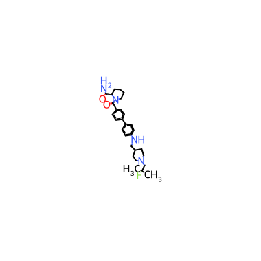 CC(C)(F)CN1CCC(CNc2ccc(-c3ccc(C(=O)N4CCCC[C@@H]4C(N)=O)cc3)cc2)CC1